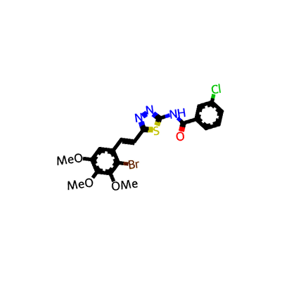 COc1cc(C=Cc2nnc(NC(=O)c3cccc(Cl)c3)s2)c(Br)c(OC)c1OC